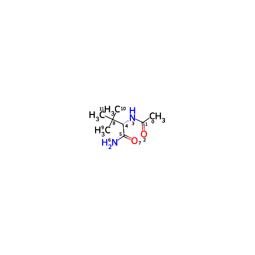 CC(=O)N[C@H](C(N)=O)C(C)(C)C